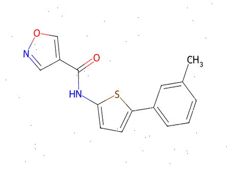 Cc1cccc(-c2ccc(NC(=O)c3cnoc3)s2)c1